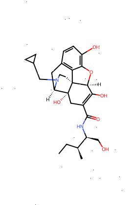 CC[C@H](C)[C@H](CO)NC(=O)C1=C(O)[C@@H]2Oc3c(O)ccc4c3[C@@]23CCN(CC2CC2)[C@H](C4)[C@]3(O)C1